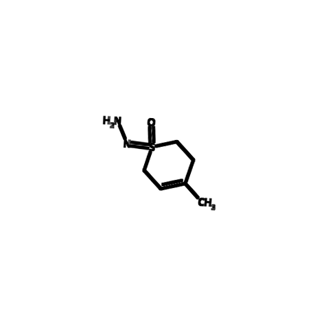 CC1=CCS(=O)(=NN)CC1